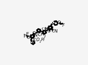 Cc1c(-c2nc3cc(CN4CCC[C@H]4C(=O)O)c(OC(F)F)cc3o2)cccc1-c1cccc(-c2nc3cc(CN4CCC(OCCF)CC4)cc(C#N)c3o2)c1C